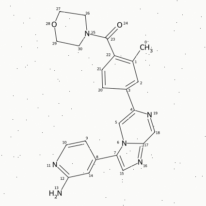 Cc1cc(-c2cn3c(-c4ccnc(N)c4)cnc3cn2)ccc1C(=O)N1CCOCC1